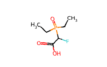 CCP(=O)(CC)C(F)C(=O)O